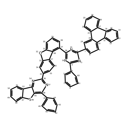 c1ccc(-c2nc(-c3ccc4c5ccccc5c5ccccc5c4c3)nc(-c3cccc4oc5cc(-c6nc(-c7ccccc7)c7sc8ccccc8c7n6)ccc5c34)n2)cc1